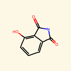 O=C1[N]C(=O)c2c(O)cccc21